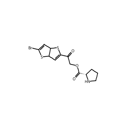 O=C(COC(=O)[C@@H]1CCCN1)C1=CC2SC(Br)=CC2S1